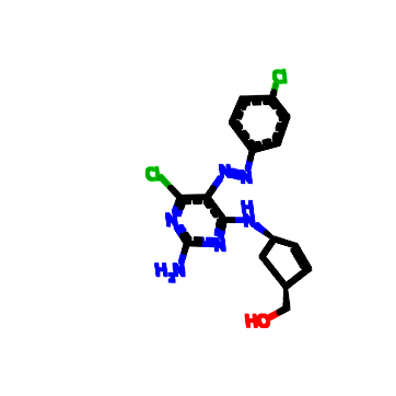 Nc1nc(Cl)c(/N=N/c2ccc(Cl)cc2)c(N[C@H]2C=C[C@@H](CO)C2)n1